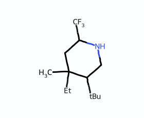 CCC1(C)CC(C(F)(F)F)NCC1C(C)(C)C